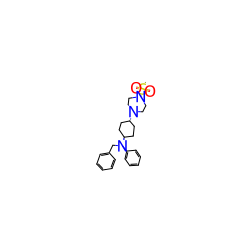 CS(=O)(=O)N1CCN([C@H]2CC[C@H](N(Cc3ccccc3)c3ccccc3)CC2)CC1